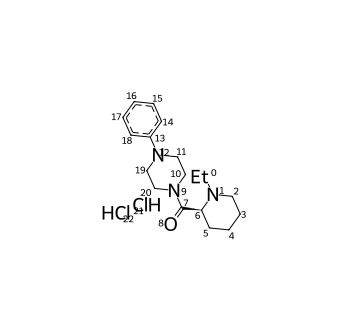 CCN1CCCC[C@H]1C(=O)N1CCN(c2ccccc2)CC1.Cl.Cl